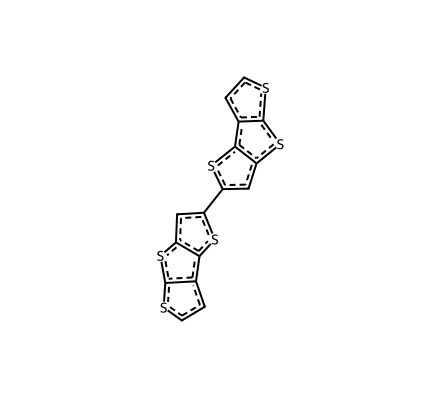 c1cc2c(s1)sc1cc(-c3cc4sc5sccc5c4s3)sc12